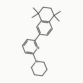 CC1(C)CCC(C)(C)c2cc(-c3cccc(N4CCCCC4)n3)ccc21